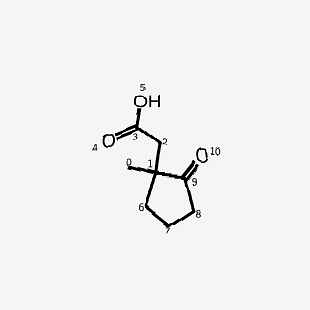 CC1(CC(=O)O)CCCC1=O